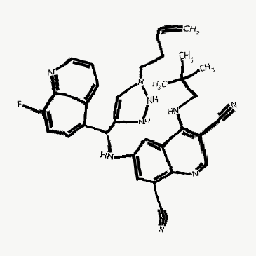 C=CCCN1C=C([C@@H](Nc2cc(C#N)c3ncc(C#N)c(NCC(C)(C)C)c3c2)c2ccc(F)c3ncccc23)NN1